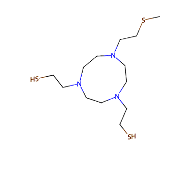 CSCCN1CCN(CCS)CCN(CCS)CC1